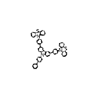 c1ccc(-c2ccc(-n3c4ccc(-c5ccc(N6c7ccccc7Sc7ccccc76)cc5)cc4c4cc(-c5ccc(N6c7ccccc7Sc7ccccc76)cc5)ccc43)cc2)cc1